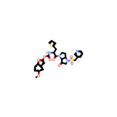 COc1ccc2oc(OC(=O)NC(Cc3cccs3)C(=O)N3CCC4C3C(=O)CN4S(=O)(=O)Cc3cccnc3)cc2c1